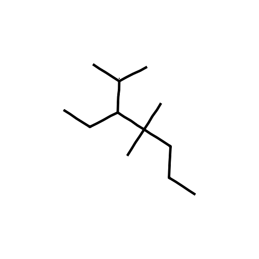 CCCC(C)(C)C(CC)[C](C)C